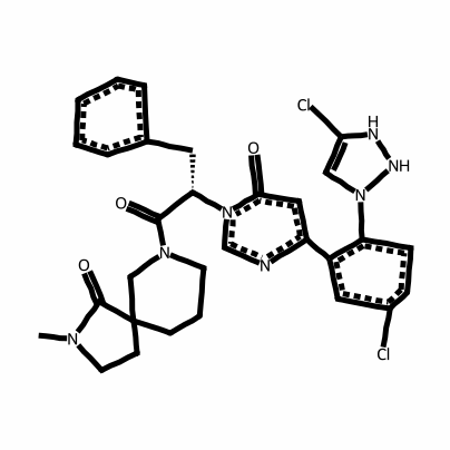 CN1CCC2(CCCN(C(=O)[C@H](Cc3ccccc3)n3cnc(-c4cc(Cl)ccc4N4C=C(Cl)NN4)cc3=O)C2)C1=O